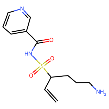 C=CC(CCCN)S(=O)(=O)NC(=O)c1cccnc1